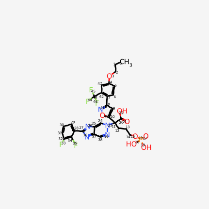 CCCOc1ccc(-c2cc(C(CCCOP(=O)(O)O)(C(=O)O)n3cc4nc(-c5cccc(F)c5F)nc-4cn3)on2)c(C(F)(F)F)c1